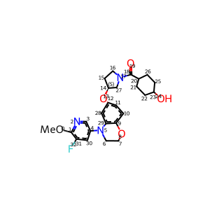 COc1ncc(N2CCOc3ccc(O[C@H]4CCN(C(=O)C5CCC(O)CC5)C4)cc32)cc1F